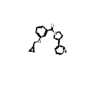 O=C(c1[c]ccc(OCC2CC2)c1)N1CCC(c2cccnc2)C1